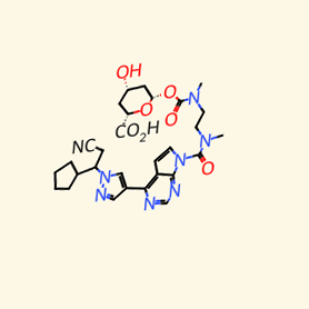 CN(CCN(C)C(=O)n1ccc2c(-c3cnn(C(CC#N)C4CCCC4)c3)ncnc21)C(=O)O[C@H]1C[C@@H](O)C[C@@H](C(=O)O)O1